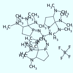 CN(C)C1CC[P](=N[P+](N=[P]2CCC(N(C)C)C2(N(C)C)N(C)C)(N=[P]2CCC(N(C)C)C2(N(C)C)N(C)C)N(C)C)C1(N(C)C)N(C)C.F[B-](F)(F)F